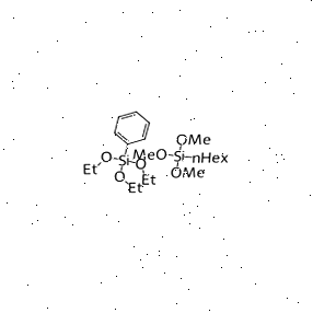 CCCCCC[Si](OC)(OC)OC.CCO[Si](OCC)(OCC)c1ccccc1